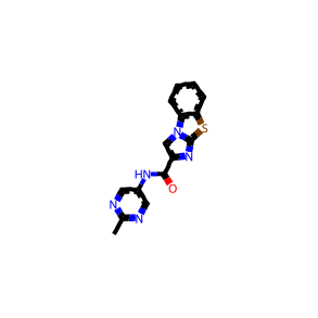 Cc1ncc(NC(=O)c2cn3c(n2)sc2ccccc23)cn1